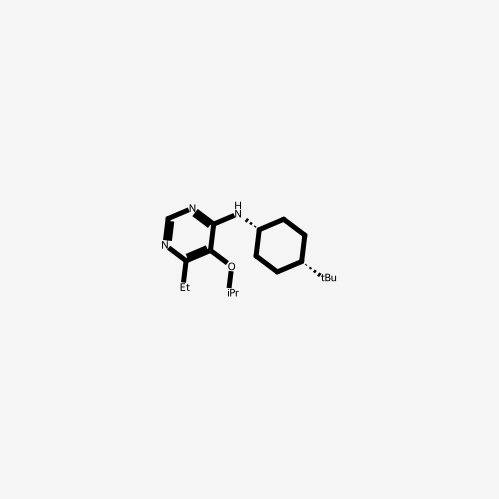 CCc1ncnc(N[C@H]2CC[C@@H](C(C)(C)C)CC2)c1OC(C)C